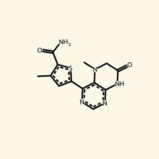 Cc1cc(-c2ncnc3c2N(C)CC(=O)N3)sc1C(N)=O